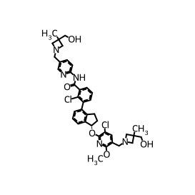 COc1nc(O[C@H]2CCc3c(-c4cccc(C(=O)Nc5ccc(CN6CC(C)(CO)C6)cn5)c4Cl)cccc32)c(Cl)cc1CN1CC(C)(CO)C1